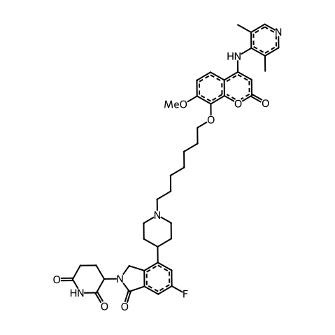 COc1ccc2c(Nc3c(C)cncc3C)cc(=O)oc2c1OCCCCCCCN1CCC(c2cc(F)cc3c2CN(C2CCC(=O)NC2=O)C3=O)CC1